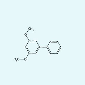 COc1[c]c(OC)cc(-c2cc[c]cc2)c1